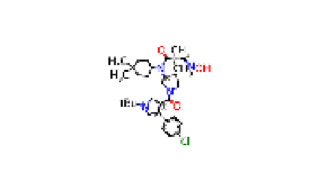 CC1(C)CCC(N(C(=O)C(C)(C)C=NO)[C@H]2CCN(C(=O)[C@@H]3CN(C(C)(C)C)C[C@H]3c3ccc(Cl)cc3)C2)CC1